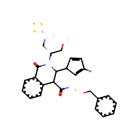 CS(=O)(=O)NC[C@@H](CO)N1C(=O)c2ccccc2C(C(=O)NOCc2ccccc2)C1C1C=CC(Cl)=C1